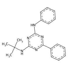 CC(C)(C)Nc1nc(Nc2ccccc2)nc(-c2ccccc2)n1